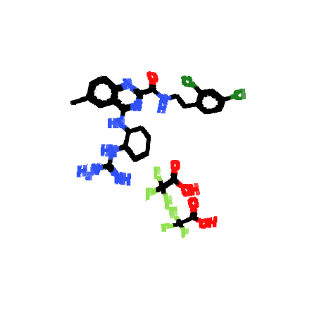 Cc1ccc2nc(C(=O)NCCc3ccc(Cl)cc3Cl)nc(NC3CCCCC3NC(=N)N)c2c1.O=C(O)C(F)(F)F.O=C(O)C(F)(F)F